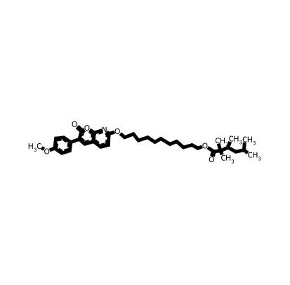 COc1ccc(-c2cc3ccc(OCCCCCCCCCCCOC(=O)C(C)(C)C(C)CC(C)C)nc3oc2=O)cc1